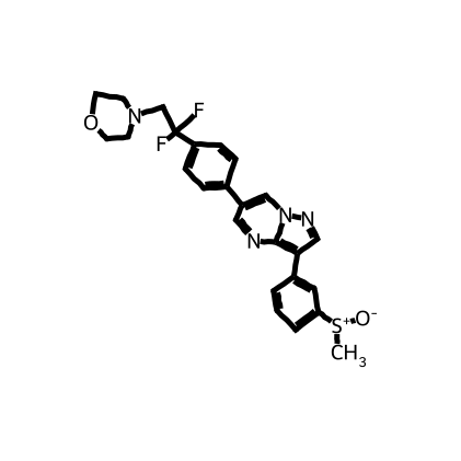 C[S+]([O-])c1cccc(-c2cnn3cc(-c4ccc(C(F)(F)CN5CCOCC5)cc4)cnc23)c1